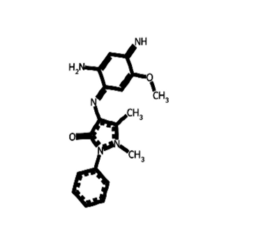 COC1=C/C(=N\c2c(C)n(C)n(-c3ccccc3)c2=O)C(N)=CC1=N